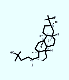 C[C@H](CCC(C)(C)O)[C@H]1CC[C@H]2[C@@H]3CC[C@H]4C[C@](O)(C(F)(F)F)CC[C@@H]4[C@H]3CC[C@]12C